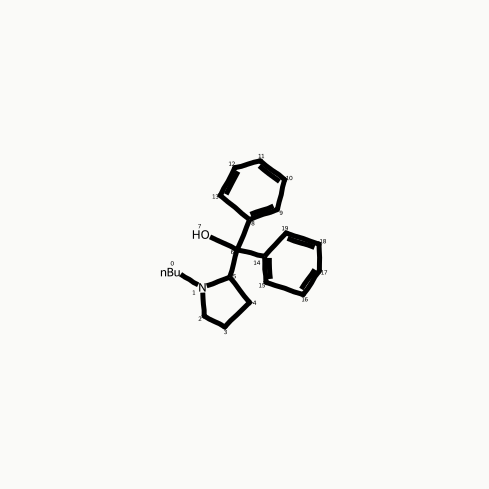 CCCCN1CCCC1C(O)(c1ccccc1)c1ccccc1